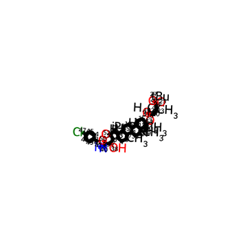 CC(C)C1=C2C(CC[C@]3(C)[C@@H]2CC[C@@H]2[C@@]4(C)CC[C@H](OC(=O)CC(C)(C)C(=O)OC(C)(C)C)C(C)(C)[C@@H]4CC[C@]23C)[C@H]([C@@H](O)c2nnc(-c3ccc(Cl)cc3)o2)C1=O